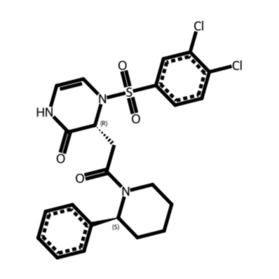 O=C1NC=CN(S(=O)(=O)c2ccc(Cl)c(Cl)c2)[C@@H]1CC(=O)N1CCCC[C@H]1c1ccccc1